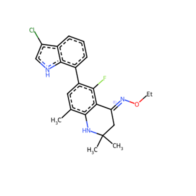 CCO/N=C1\CC(C)(C)Nc2c(C)cc(-c3cccc4c(Cl)c[nH]c34)c(F)c21